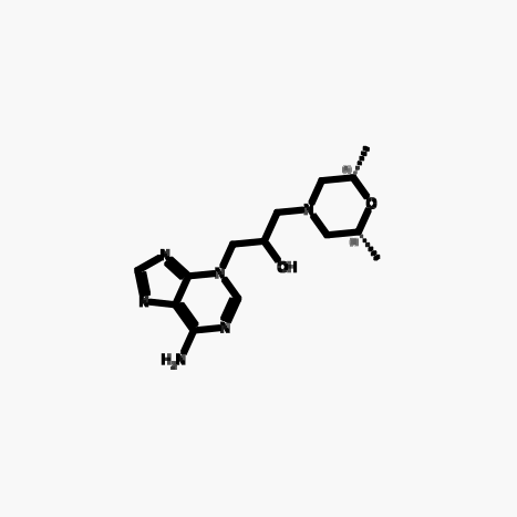 C[C@@H]1CN(CC(O)Cn2cnc(N)c3ncnc2-3)C[C@H](C)O1